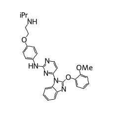 COc1ccccc1Oc1nc2ccccc2n1-c1ccnc(Nc2ccc(OCCNC(C)C)cc2)n1